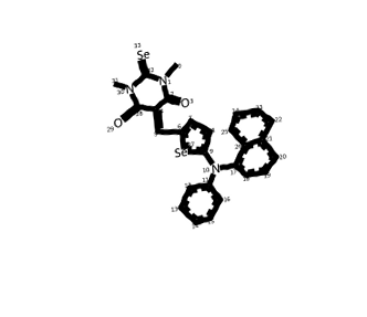 CN1C(=O)C(=Cc2ccc(N(c3ccccc3)c3cccc4ccccc34)[se]2)C(=O)N(C)C1=[Se]